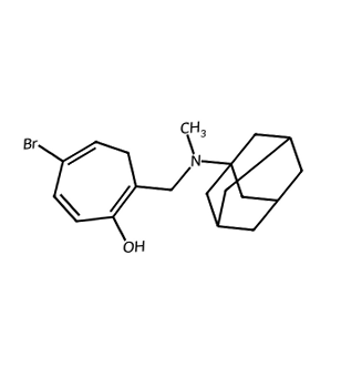 CN(CC1=C(O)C=CC(Br)=CC1)C12CC3CC(CC(C3)C1)C2